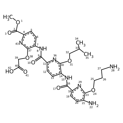 COC(=O)c1ccc(NC(=O)c2ccc(NC(=O)c3ccc(N)c(OCCCN)n3)c(OCC(C)C)n2)c(OCC(=O)O)n1